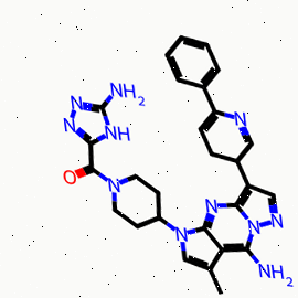 Cc1cn(C2CCN(C(=O)c3nnc(N)[nH]3)CC2)c2nc3c(C4C=NC(c5ccccc5)=CC4)cnn3c(N)c12